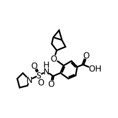 O=C(O)c1ccc(C(=O)NS(=O)(=O)N2CCCC2)c(OC2CC3CC3C2)c1